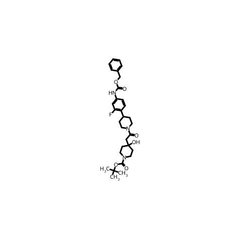 CC(C)(C)OC(=O)N1CCC(O)(CC(=O)N2CCC(c3ccc(NC(=O)OCc4ccccc4)cc3F)CC2)CC1